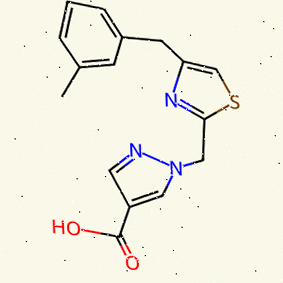 Cc1cccc(Cc2csc(Cn3cc(C(=O)O)cn3)n2)c1